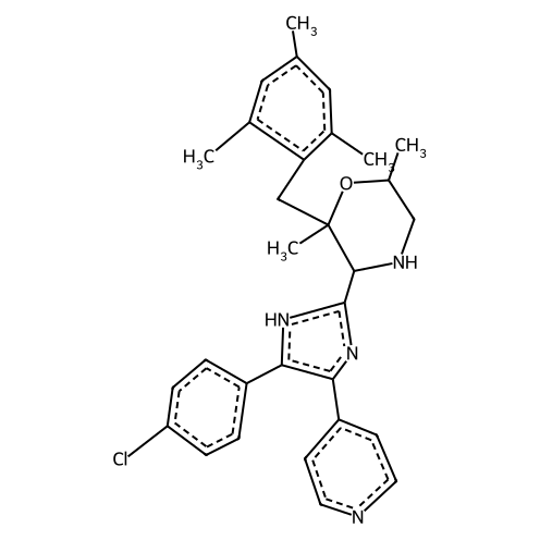 Cc1cc(C)c(CC2(C)OC(C)CNC2c2nc(-c3ccncc3)c(-c3ccc(Cl)cc3)[nH]2)c(C)c1